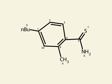 CCCCc1ccc(C(N)=S)c(C)c1